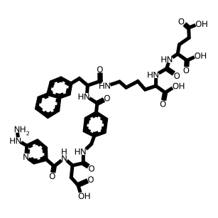 NNc1ccc(C(=O)NC(CC(=O)O)C(=O)NCc2ccc(C(=O)NC(Cc3ccc4ccccc4c3)C(=O)NCCCCC(NC(=O)NC(CCC(=O)O)C(=O)O)C(=O)O)cc2)cn1